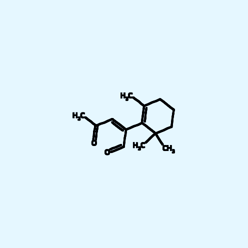 CC(=O)C=C(C=O)C1=C(C)CCCC1(C)C